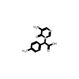 Cc1ccc(C(C(=O)O)n2cncc(N)c2=O)cc1